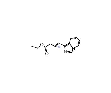 CCOC(=O)C/C=C/c1ncn2ccccc12